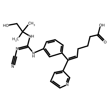 CC(C)(CO)N/C(=N/C#N)Nc1cccc(/C(=C\CCCC(=O)O)c2cccnc2)c1